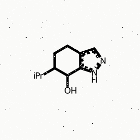 CC(C)C1CCc2cn[nH]c2C1O